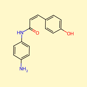 Nc1ccc(NC(=O)/C=C\c2ccc(O)cc2)cc1